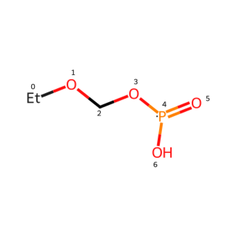 CCOCO[P](=O)O